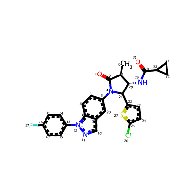 CC1C(=O)N(c2ccc3c(cnn3-c3ccc(F)cc3)c2)C(c2ccc(Cl)s2)[C@H]1NC(=O)C1CC1